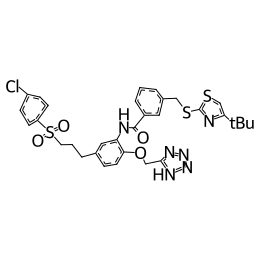 CC(C)(C)c1csc(SCc2cccc(C(=O)Nc3cc(CCCS(=O)(=O)c4ccc(Cl)cc4)ccc3OCc3nnn[nH]3)c2)n1